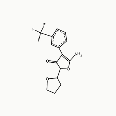 NC1=C(c2cccc(C(F)(F)F)c2)C(=O)C(C2CCCO2)O1